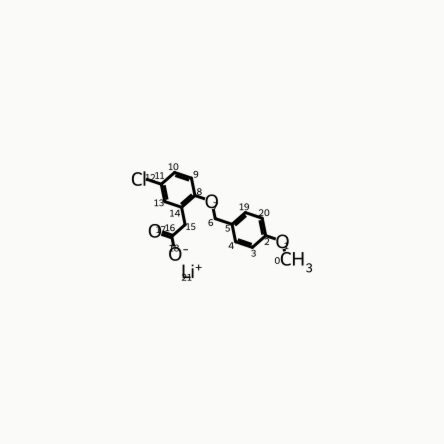 COc1ccc(COc2ccc(Cl)cc2CC(=O)[O-])cc1.[Li+]